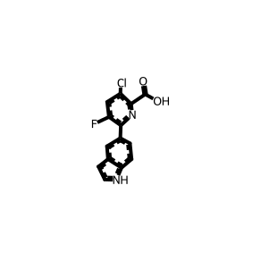 O=C(O)c1nc(-c2ccc3[nH]ccc3c2)c(F)cc1Cl